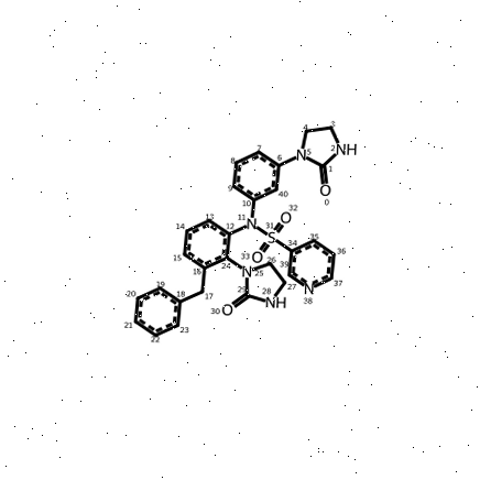 O=C1NCCN1c1cccc(N(c2cccc(Cc3ccccc3)c2N2CCNC2=O)S(=O)(=O)c2cccnc2)c1